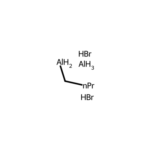 Br.Br.CCC[CH2][AlH2].[AlH3]